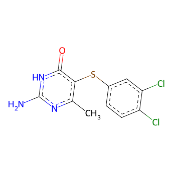 Cc1nc(N)[nH]c(=O)c1Sc1ccc(Cl)c(Cl)c1